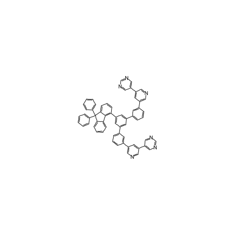 c1ccc(C2(c3ccccc3)c3ccccc3-c3c(-c4cc(-c5cccc(-c6cncc(-c7cncnc7)c6)c5)cc(-c5cccc(-c6cncc(-c7cncnc7)c6)c5)c4)cccc32)cc1